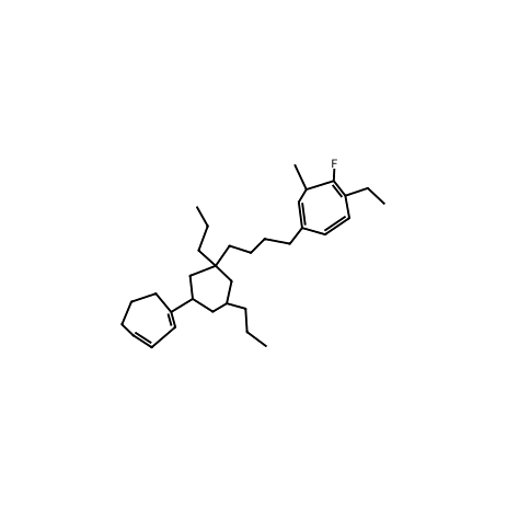 CCCC1CC(C2=CC=CCCC2)CC(CCC)(CCCCC2=CC(C)C(F)=C(CC)C=C2)C1